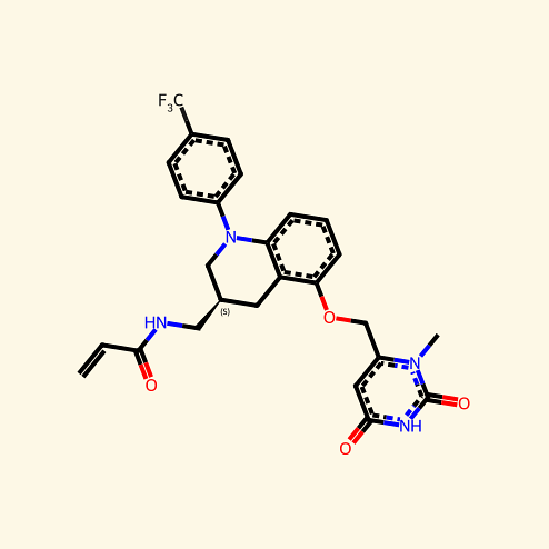 C=CC(=O)NC[C@@H]1Cc2c(OCc3cc(=O)[nH]c(=O)n3C)cccc2N(c2ccc(C(F)(F)F)cc2)C1